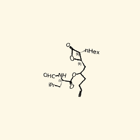 C=CCCC(C[C@H]1OC(=O)[C@@H]1CCCCCC)OC(=O)[C@H](CC(C)C)NC=O